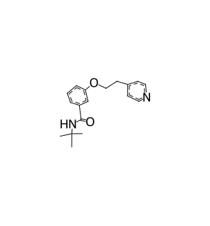 CC(C)(C)NC(=O)c1cccc(OCCc2ccncc2)c1